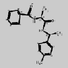 Cc1ccc([C@H](C)NC(=O)[C@H](C)NC(=O)c2ccccc2)cc1